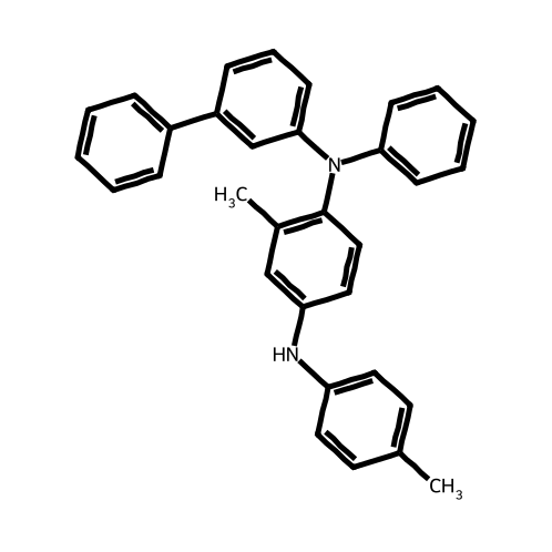 Cc1ccc(Nc2ccc(N(c3ccccc3)c3cccc(-c4ccccc4)c3)c(C)c2)cc1